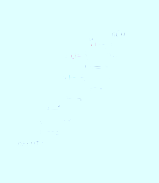 CCCCCC1CCC(CCc2ccc3cc(CCCC)oc(=O)c3c2F)CC1